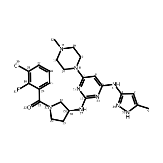 Cc1cc(Nc2cc(N3CCN(C)CC3)nc(N[C@H]3CCN(C(=O)c4cccc(Cl)c4F)C3)n2)n[nH]1